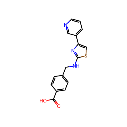 O=C(O)c1ccc(CNc2nc(-c3cccnc3)cs2)cc1